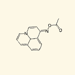 CC(=O)O/N=C1\C=CN2C=CC=C3C=CC=C1C32